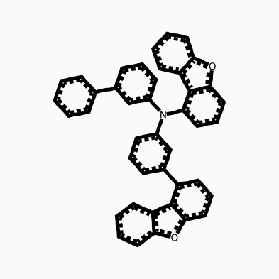 c1ccc(-c2cccc(N(c3cccc(-c4cccc5oc6ccccc6c45)c3)c3cccc4oc5ccccc5c34)c2)cc1